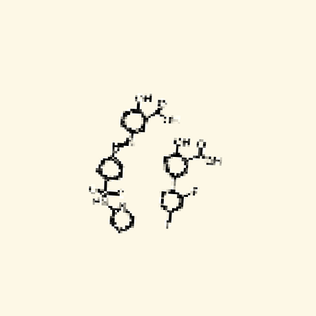 O=C(O)c1cc(-c2ccc(F)cc2F)ccc1O.O=C(O)c1cc(N=Nc2ccc(S(=O)(=O)Nc3ccccn3)cc2)ccc1O